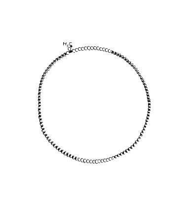 CCOC1CCCCCCCCCCCCCCCCCCCCCCCCCCCCCCCCCCCCCCCCCCCCCCCCCCCCCCCCCCCCCCCCCCCCCCCCCCCCCCCCCCCCCCCCCCCCCCCCCCCCCCCCCCCCCCCCCC1